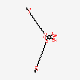 C=CC(=O)OCCCCCCCCCCCCCCCCOC(=O)c1cc(C(=O)O)c(C(=O)O)cc1C(=O)OCCCCCCCCCCCCCCCCOC(=O)C=C